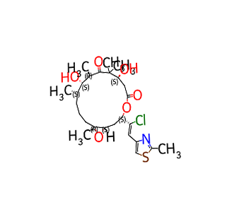 Cc1nc(C=C(Cl)[C@@H]2C[C@@H]3O[C@]3(C)CCC[C@H](C)[C@H](O)[C@@H](C)C(=O)C(C)(C)[C@@H](O)CC(=O)O2)cs1